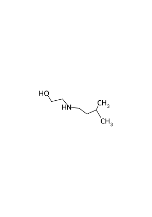 CC(C)CCNCCO